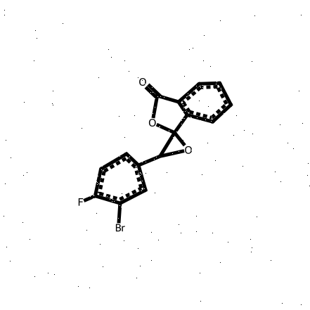 O=C1OC2(OC2c2ccc(F)c(Br)c2)c2ccccc21